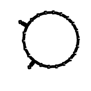 O=C1CCCCC(=O)OCCCCCCCCCCCCCCO1